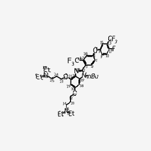 CCCCn1c(-c2ccc(Oc3ccc(F)c(C(F)(F)F)c3)cc2C(F)(F)F)nc2c(OCCCN(CC)CC)cc(OCCCN(CC)CC)cc21